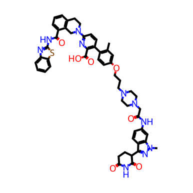 Cc1cc(OCCCN2CCN(CC(=O)Nc3ccc4c(C5CCC(=O)NC5=O)nn(C)c4c3)CC2)ccc1-c1ccc(N2CCc3cccc(C(=O)Nc4nc5ccccc5s4)c3C2)nc1C(=O)O